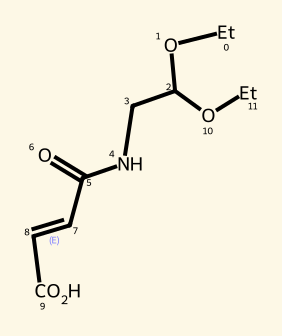 CCOC(CNC(=O)/C=C/C(=O)O)OCC